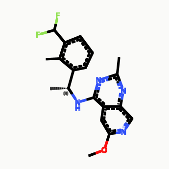 COc1cc2c(N[C@H](C)c3cccc(C(F)F)c3C)nc(C)nc2cn1